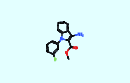 COC(=O)c1c(N)c2ccccc2n1-c1cccc(F)c1